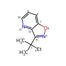 CCC(C)(C)c1noc2cccnc12